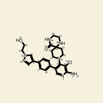 Nc1ncc(-c2ccc(-c3cnn(CCO)c3)cc2)c(N2CCC3(CC2)NCCNC3=O)c1Cl